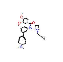 COc1ccc(C(=O)N(C[C@@H]2CCCN2CC2CC2)c2cccc(-c3ccc(N(C)C)cc3)c2)cc1OC